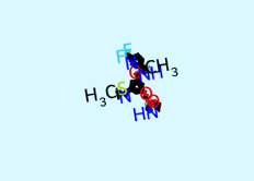 Cc1cnc(-c2cc(OC[C@H]3CNCCO3)cc(C(=O)N[C@H](C)c3ccc(C(F)F)nc3)c2)s1